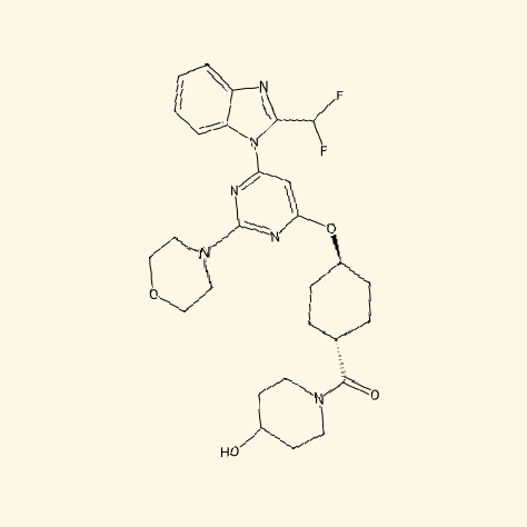 O=C([C@H]1CC[C@H](Oc2cc(-n3c(C(F)F)nc4ccccc43)nc(N3CCOCC3)n2)CC1)N1CCC(O)CC1